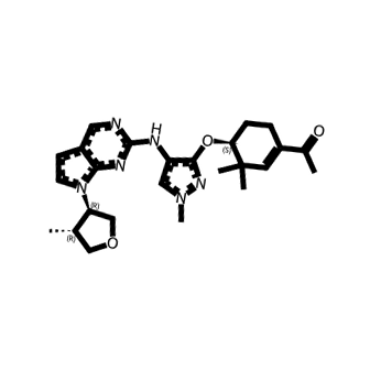 CC(=O)C1=CC(C)(C)[C@@H](Oc2nn(C)cc2Nc2ncc3ccn([C@H]4COC[C@@H]4C)c3n2)CC1